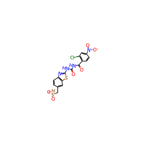 O=C(NC(=O)c1ccc([N+](=O)[O-])cc1Cl)Nc1nc2ccc(C[SH](=O)=O)cc2s1